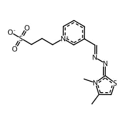 Cc1csc(=NN=Cc2ccc[n+](CCCS(=O)(=O)[O-])c2)n1C